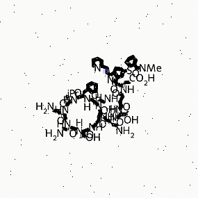 CNC(=O)c1ccccc1Sc1ccc2c(/C=C/c3ccccn3)nn(C(=O)[C@H](CCC(=O)O)NC(=O)CCC(=O)N[C@H](C(=O)N[C@@H](CCN)C(=O)N[C@H]3CCNC(=O)[C@H]([C@@H](C)O)NC(=O)[C@H](CCN)NC(=O)[C@H](CCCN)NC(=O)[C@H](CC(C)C)NC(=O)[C@@H](Cc4ccccc4)NC(=O)[C@H](CCN)NC3=O)[C@@H](C)O)c2c1